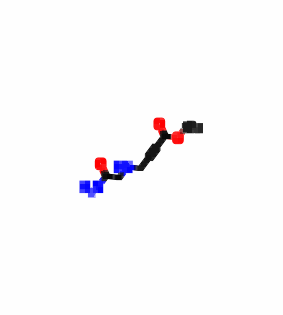 CC(C)(C)OC(=O)C#CCNCC(N)=O